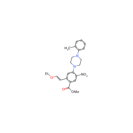 CCO/C=C/c1cc(N2CCN(c3ccccc3C)CC2)c([N+](=O)[O-])cc1C(=O)OC